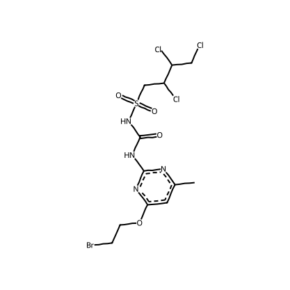 Cc1cc(OCCBr)nc(NC(=O)NS(=O)(=O)CC(Cl)C(Cl)CCl)n1